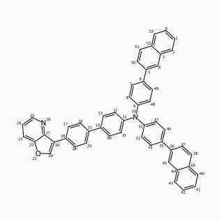 c1ccc2cc(-c3ccc(N(c4ccc(-c5ccc(-c6coc7cccnc67)cc5)cc4)c4ccc(-c5ccc6ccccc6c5)cc4)cc3)ccc2c1